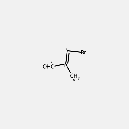 CC(C=O)=CBr